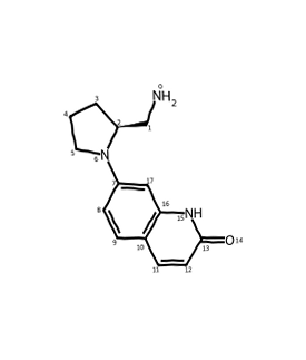 NC[C@@H]1CCCN1c1ccc2ccc(=O)[nH]c2c1